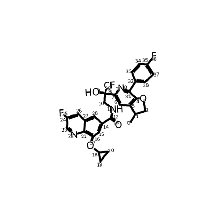 CC1COc2c1cc([C@@](O)(CNC(=O)c1cc(OC3CC3)c3ncc(F)cc3c1)C(F)(F)F)nc2-c1ccc(F)cc1